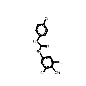 Oc1c(Cl)cc(NC(=S)Nc2ccc(Cl)cc2)cc1Cl